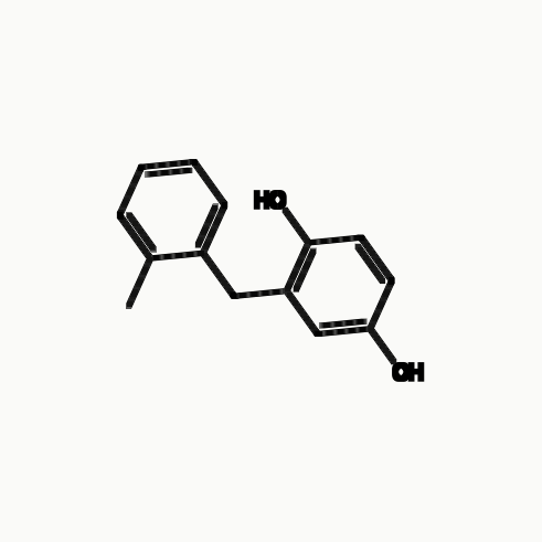 Cc1ccccc1Cc1cc(O)ccc1O